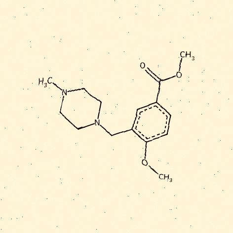 COC(=O)c1ccc(OC)c(CN2CCN(C)CC2)c1